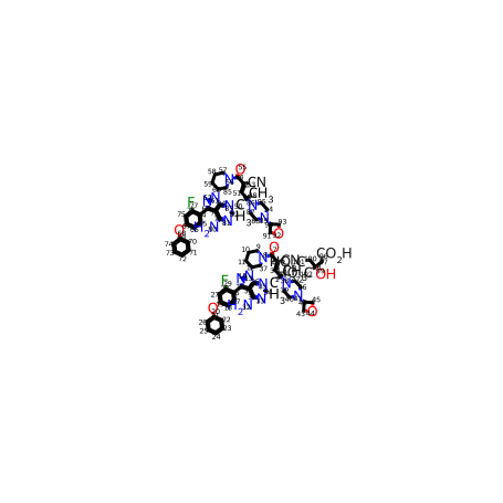 CC(C)(C=C(C#N)C(=O)N1CCC[C@@H](n2nc(-c3ccc(Oc4ccccc4)cc3F)c3c(N)ncnc32)C1)N1CCN(C2COC2)CC1.CC(C)(C=C(C#N)C(=O)N1CCC[C@@H](n2nc(-c3ccc(Oc4ccccc4)cc3F)c3c(N)ncnc32)C1)N1CCN(C2COC2)CC1.O=C(O)CC(O)(CC(=O)O)C(=O)O